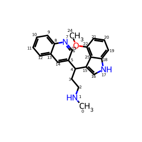 CNCCC(c1cnc2ccccc2c1)c1c[nH]c2cccc(OC)c12